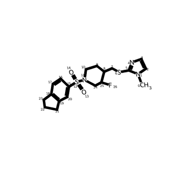 Cn1ccnc1SCC1CCN(S(=O)(=O)c2ccc3c(c2)CCC3)CC1F